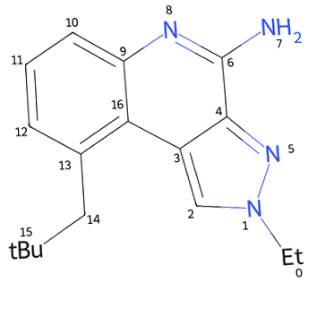 CCn1cc2c(n1)c(N)nc1cccc(CC(C)(C)C)c12